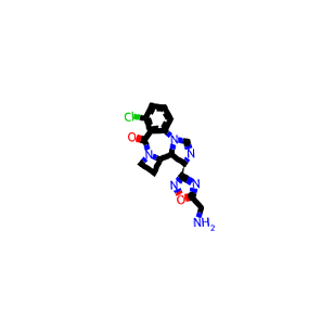 NCc1nc([C@H]2N=CN3c4cccc(Cl)c4C(=O)N4CCC4C23)no1